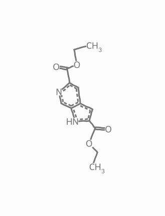 CCOC(=O)c1cc2cc(C(=O)OCC)[nH]c2cn1